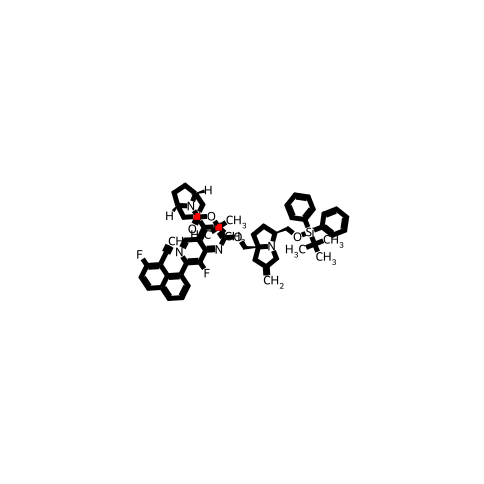 C#Cc1c(F)ccc2cccc(-c3ncc4c(N5C[C@H]6CC[C@@H](C5)N6C(=O)OC(C)(C)C)nc(OC[C@@]56CC[C@@H](CO[Si](c7ccccc7)(c7ccccc7)C(C)(C)C)N5CC(=C)C6)nc4c3F)c12